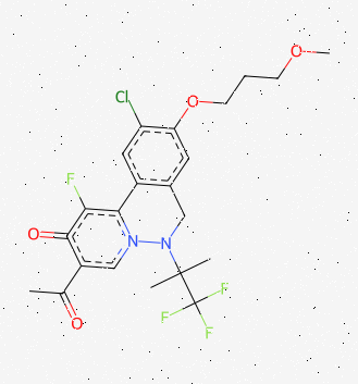 COCCCOc1cc2c(cc1Cl)-c1c(F)c(=O)c(C(C)=O)cn1N(C(C)(C)C(F)(F)F)C2